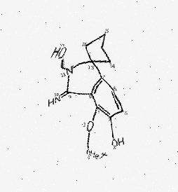 CCCCCCOc1c(O)ccc2c1C(=N)N(O)C21CCC1